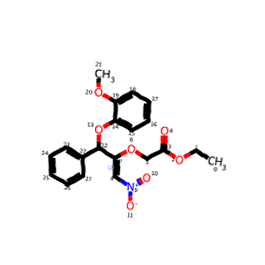 CCOC(=O)CO/C(=C\[N+](=O)[O-])C(Oc1ccccc1OC)c1ccccc1